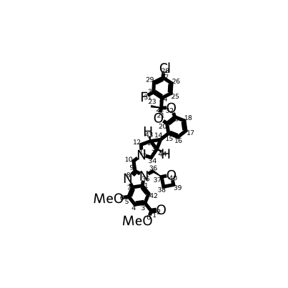 COC(=O)c1cc(OC)c2nc(CN3C[C@@H]4C(c5cccc6c5O[C@](C)(c5ccc(Cl)cc5F)O6)[C@@H]4C3)n(C[C@@H]3CCO3)c2c1